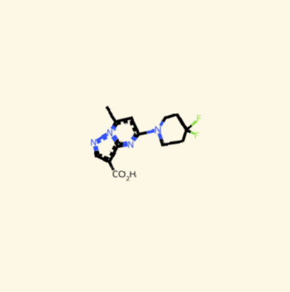 Cc1cc(N2CCC(F)(F)CC2)nc2c(C(=O)O)cnn12